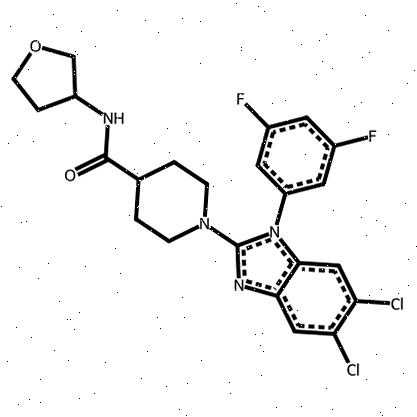 O=C(NC1CCOC1)C1CCN(c2nc3cc(Cl)c(Cl)cc3n2-c2cc(F)cc(F)c2)CC1